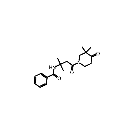 CC(C)(CC(=O)N1CCC(=O)C(C)(C)C1)NC(=O)c1ccccc1